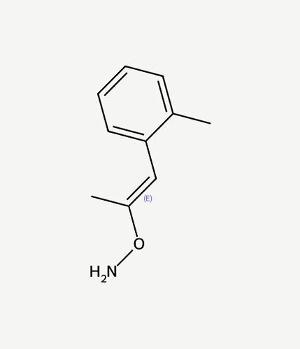 C/C(=C\c1ccccc1C)ON